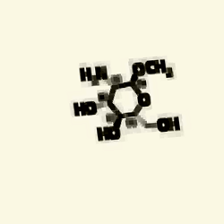 CO[C@H]1O[C@H](CO)[C@@H](O)[C@H](O)[C@@H]1N